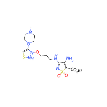 CCOC(=O)C1=C(N)C(NCCCON2NSC=C2N2CCN(C)CC2)=NS1(=O)=O